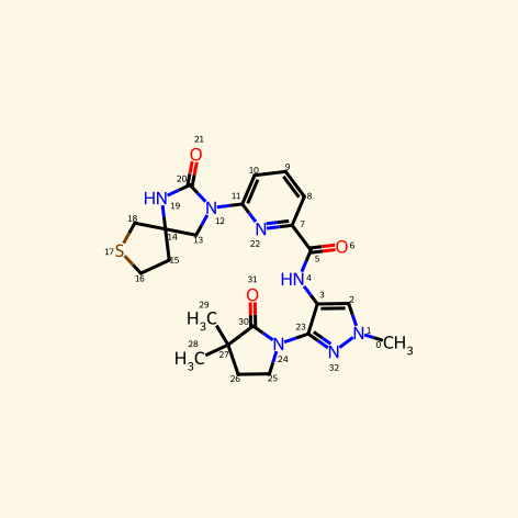 Cn1cc(NC(=O)c2cccc(N3CC4(CCSC4)NC3=O)n2)c(N2CCC(C)(C)C2=O)n1